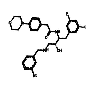 CCc1cccc(CNC[C@@H](O)[C@H](Cc2cc(F)cc(F)c2)NC(=O)Cc2ccc(N3CCOCC3)cc2)c1